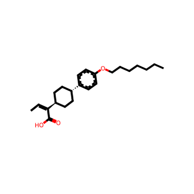 CC=C(C(=O)O)[C@H]1CC[C@H](c2ccc(OCCCCCCC)cc2)CC1